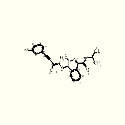 CO/N=C(/C(=O)NC(C)C)c1ccccc1CO/N=C(\C)C#Cc1cccc(Br)c1